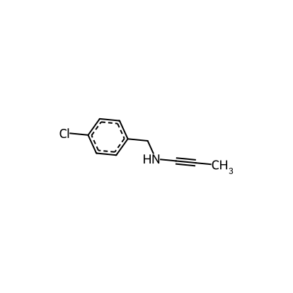 CC#CNCc1ccc(Cl)cc1